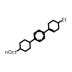 CCCCCCCCC1CCC(c2ccc(C3=CCC(CC)CC3)cc2)CC1